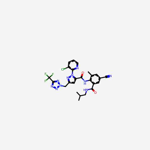 Cc1cc(C#N)cc(C(=O)NCC(C)C)c1NC(=O)c1cc(Cn2nnc(C(F)(F)F)n2)nn1-c1ncccc1Cl